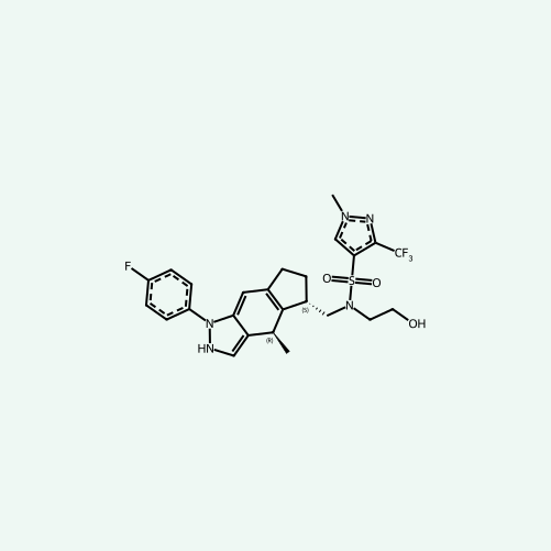 C[C@H]1C2=CNN(c3ccc(F)cc3)C2=CC2=C1[C@@H](CN(CCO)S(=O)(=O)c1cn(C)nc1C(F)(F)F)CC2